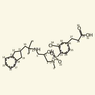 CN(CC(O)CNC(C)(C)CC1Cc2ccccc2C1)S(=O)(=O)c1ccc(CCC(=O)O)cc1Cl